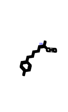 C/C(C=O)=C/CCCCc1ccc(C)cc1